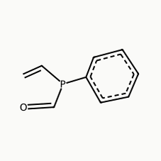 C=CP(C=O)c1ccccc1